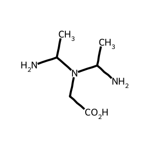 CC(N)N(CC(=O)O)C(C)N